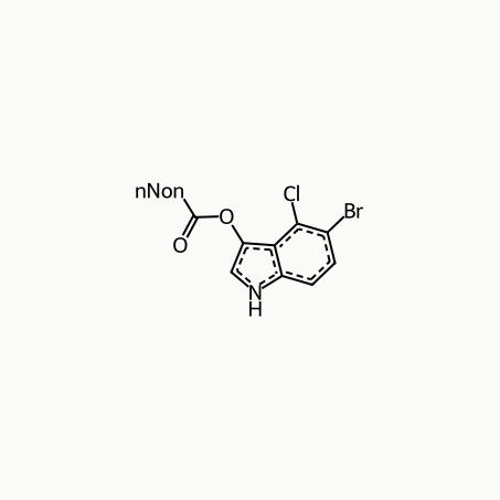 CCCCCCCCCC(=O)Oc1c[nH]c2ccc(Br)c(Cl)c12